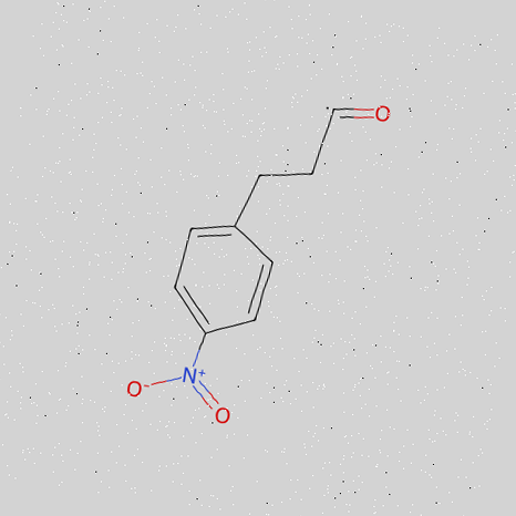 O=[C]CCc1ccc([N+](=O)[O-])cc1